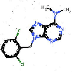 CN(C)c1ncnc2c1ncn2Cc1c(Cl)cccc1Cl